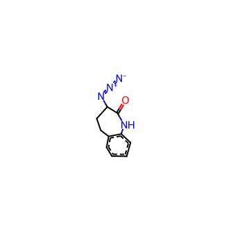 [N-]=[N+]=NC1CCc2ccccc2NC1=O